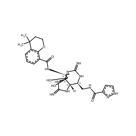 CC1(C)CCOc2c(C(=O)N[C@H]3CN4C(=N)N[C@@H](CNC(=O)c5cc[nH]n5)[C@@H]5NC(=N)N[C@@]54C3(O)O)cccc21